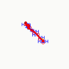 Nc1ncnc2c1c(-c1ccc(Oc3ccccc3)cc1)nn2[C@@H]1CCCN(C(=O)/C=C/CN2CCN(CCNC(=O)CCCCCNC(=O)CCCCCNC(=O)CCCCC3SCC4NC(=O)NC43)CC2)C1